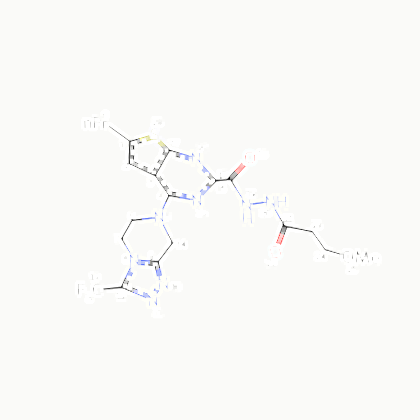 CCCc1cc2c(N3CCn4c(nnc4C(F)(F)F)C3)nc(C(=O)NNC(=O)CCOC)nc2s1